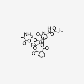 CC(C)CC(=O)ONc1ccn([C@@H]2O[C@H](COC(=O)[C@@H](C)N)[C@H]3OC(=O)c4ccccc4C(=O)O[C@H]32)c(=O)n1